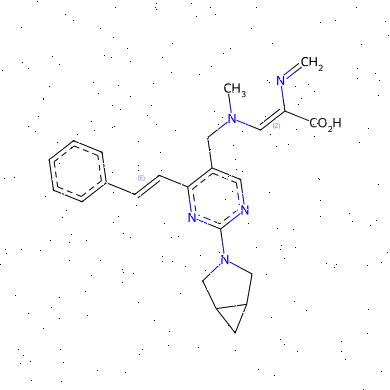 C=N/C(=C\N(C)Cc1cnc(N2CC3CC3C2)nc1/C=C/c1ccccc1)C(=O)O